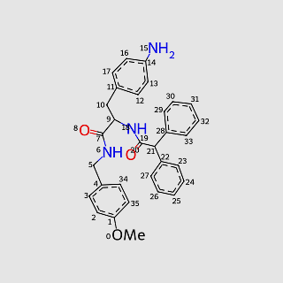 COc1ccc(CNC(=O)C(Cc2ccc(N)cc2)NC(=O)C(c2ccccc2)c2ccccc2)cc1